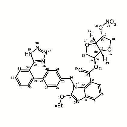 CCOc1nc2cccc(C(=O)O[C@H]3CO[C@H]4[C@@H]3OC[C@H]4O[N+](=O)[O-])c2n1Cc1ccc(-c2ccccc2-c2nnn[nH]2)cc1